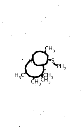 CC1CCC[C@@H]2CCCC(C)CC(SCP)C[C@@H](CC2)CC(C)(C)CC(C)C1